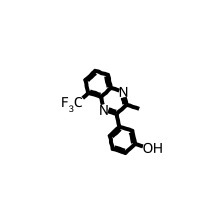 Cc1nc2cccc(C(F)(F)F)c2nc1-c1cccc(O)c1